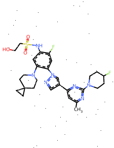 Cc1cc(-c2cnn(-c3cc(F)c(NS(=O)(=O)CCO)cc3N3CCC4(CC3)CC4)c2)nc(N2CCC(F)CC2)n1